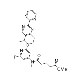 COC(=O)CCCC(=O)N(C)c1cc(F)nc(N2CCc3nc(-c4ncccn4)ncc3C2C)c1